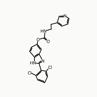 O=C(NCCc1cccnc1)Oc1ccc2[nH]c(-c3c(Cl)cccc3Cl)nc2c1